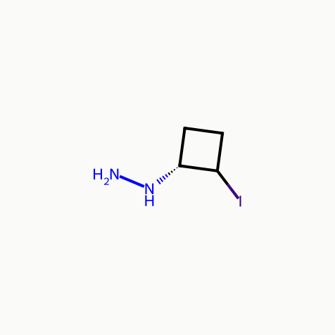 NN[C@@H]1CCC1I